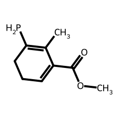 COC(=O)C1=CCCC(P)=C1C